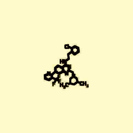 CC1CC(C)CN(Cc2nc(NCCc3ccccc3Cl)c3ccc(-c4ncccc4C(F)(F)F)cc3n2)C1